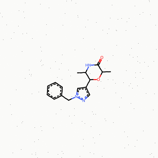 CC1OC(c2cnn(Cc3ccccc3)c2)C(C)NC1=O